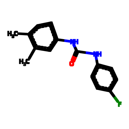 Cc1ccc(NC(=O)Nc2ccc(F)cc2)cc1C